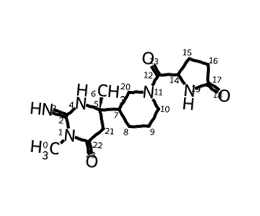 CN1C(=N)N[C@](C)(C2CCCN(C(=O)C3CCC(=O)N3)C2)CC1=O